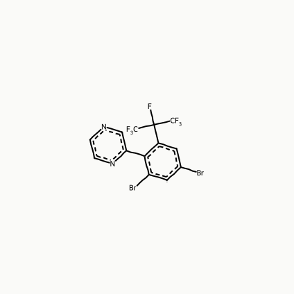 FC(F)(F)C(F)(c1cc(Br)[c]c(Br)c1-c1cnccn1)C(F)(F)F